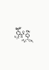 Cc1ccc([N+](=O)[O-])cc1NC(=O)c1cc(C(C)C)ccc1O